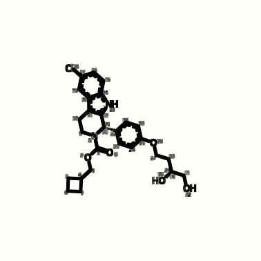 O=C(OCC1CCC1)N1CCc2c([nH]c3ccc(Cl)cc23)[C@@H]1c1ccc(OCC[C@H](O)CO)cc1